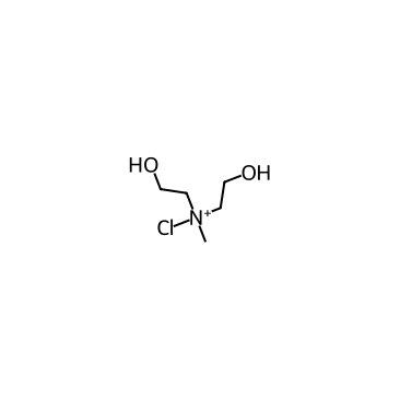 C[N+](Cl)(CCO)CCO